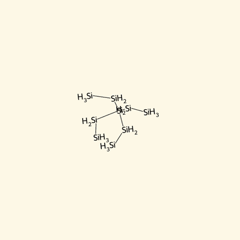 [SiH3][SiH2][Si]([SiH2][SiH3])([SiH2][SiH3])[SiH2][SiH3]